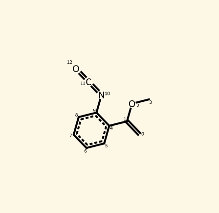 C=C(OC)c1ccccc1N=C=O